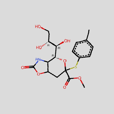 COC(=O)C1(Sc2ccc(C)cc2)CC2OC(=O)NC2[C@H]([C@H](O)[C@H](O)CO)O1